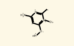 CCCOc1cc(N)nc(C)[n+]1[O-]